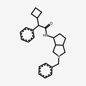 O=C(NC1CCC2CN(Cc3ccccc3)CC21)C(c1ccccc1)C1CCC1